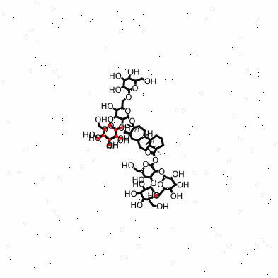 C=C1CC2CCC3[C@](C)(C(=O)OC4OC(CO)C(O)C(OC5OC(CO)C(O)C(O)C5O)C4OC4OC(CO)C(O)C(O)C4O)CCC[C@@]3(C)[C@@H]2CC[C@@]1(C)OC1OC(COC2OC(CO)C(O)C(O)C2O)C(O)C(OC2OC(CO)C(O)C(O)C2O)C1OC1OC(CO)C(O)C(O)C1O